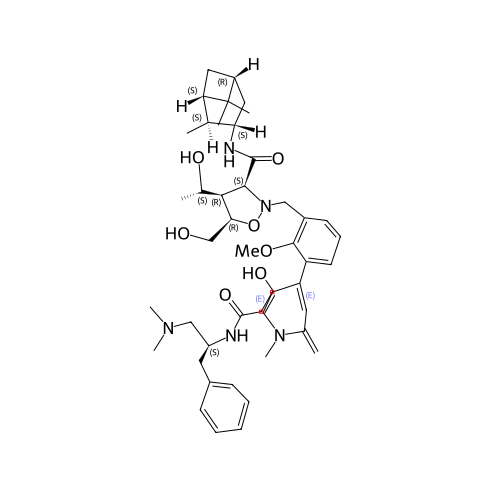 C=C(/C=C(\C=C\C(=O)N[C@@H](Cc1ccccc1)CN(C)C)c1cccc(CN2O[C@@H](CO)[C@@H]([C@H](C)O)[C@H]2C(=O)N[C@H]2C[C@H]3C[C@@H]([C@@H]2C)C3(C)C)c1OC)N(C)CCO